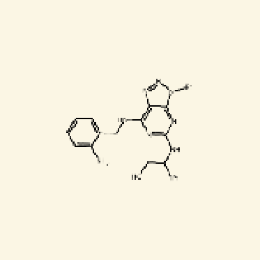 CCn1nnc2c(NCc3ccccc3N)nc(NC(CO)C(C)C)nc21